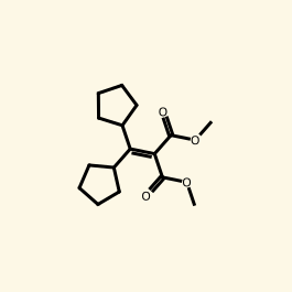 COC(=O)C(C(=O)OC)=C(C1CCCC1)C1CCCC1